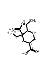 CCC1OCC(C(=O)O)CC1(CC)C(=O)O